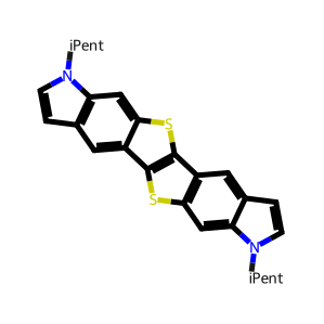 CCCC(C)n1ccc2cc3c(cc21)sc1c2cc4ccn(C(C)CCC)c4cc2sc31